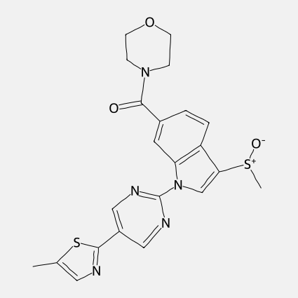 Cc1cnc(-c2cnc(-n3cc([S+](C)[O-])c4ccc(C(=O)N5CCOCC5)cc43)nc2)s1